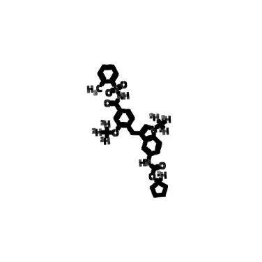 [2H]C([2H])([2H])Oc1cc(C(=O)NS(=O)(=O)c2ccccc2C)ccc1Cc1cn(C([2H])([2H])[2H])c2ccc(NC(=O)OC3([2H])CCCC3)cc12